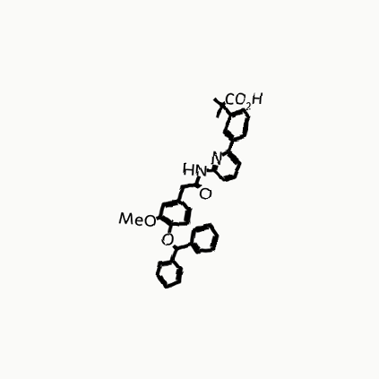 COc1cc(CC(=O)Nc2cccc(-c3cccc(C(C)(C)C(=O)O)c3)n2)ccc1OC(c1ccccc1)c1ccccc1